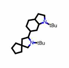 CC(C)(C)N1CCC2CCC(C3CC4(CCCC4)CN3C(C)(C)C)CC21